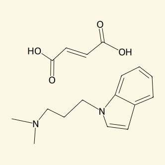 CN(C)CCCn1ccc2ccccc21.O=C(O)/C=C/C(=O)O